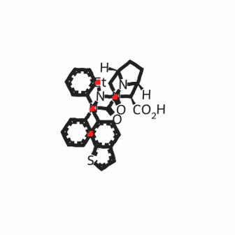 CCN(Cc1ccc2ccsc2c1)C(=O)N1[C@H]2CC[C@@H]1[C@@H](C(=O)O)N(C(=O)N(c1ccccc1)c1ccccc1)C2